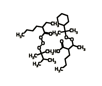 CCCCC(C(=O)O)C(C)OOC(C)(C)C1CCCCC1.CCCCC(CC)C(=O)OOOC(C)(C)C(C)C